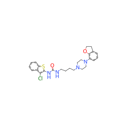 O=C(NCCCCN1CCN(c2cccc3c2OCC3)CC1)Nc1sc2ccccc2c1Cl